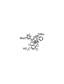 COC(=O)c1ccccc1S(=O)(=O)NC(=O)Nc1nc(C)nc(OC)n1.Nc1c(Cl)c(Cl)nc(C(=O)O)c1Cl